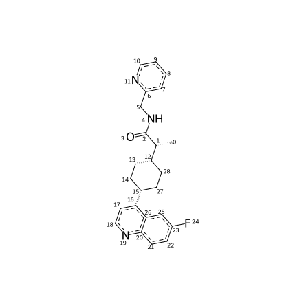 C[C@@H](C(=O)NCc1ccccn1)[C@H]1CC[C@@H](c2ccnc3ccc(F)cc32)CC1